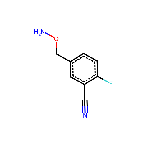 N#Cc1cc(CON)ccc1F